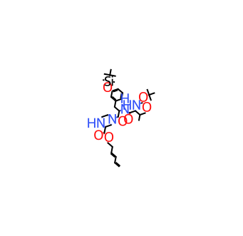 C=CC=CCCOC(=O)C1CN(C(=O)C(Cc2cccc(O[Si](C)(C)C(C)(C)C)c2)NC(=O)C(NC(=O)OC(C)(C)C)C(C)C)CCN1